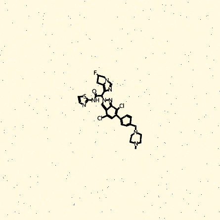 CN1CCN(Cc2ccc(-c3cc(Cl)c4cn(C(C(=O)Nc5nccs5)c5ncn6c5C[C@@H](F)C6)nc4c3Cl)cc2)CC1